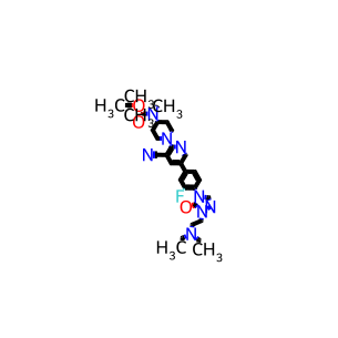 CCN(CC)CCn1ncn(-c2ccc(-c3cnc(N4CCC(N(C)C(=O)OC(C)(C)C)CC4)c(C#N)c3)cc2F)c1=O